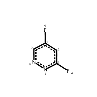 Fc1[c]c(F)nnc1